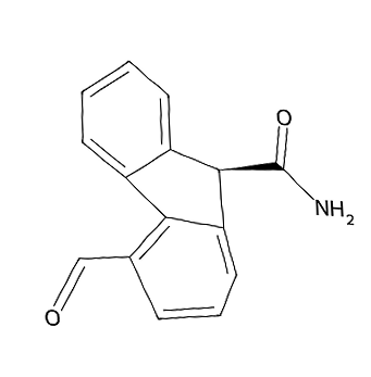 NC(=O)[C@@H]1c2ccccc2-c2c(C=O)cccc21